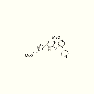 COCCn1cc(C(=O)Nc2nc3c(OC)ncc(-c4ccncc4)c3s2)cn1